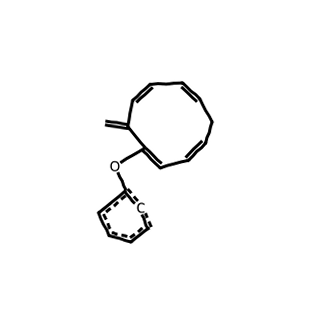 C=C1/C=C\C=C/C/C=C\C=C/1Oc1ccccc1